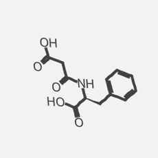 O=C(O)CC(=O)N[C@@H](Cc1ccccc1)C(=O)O